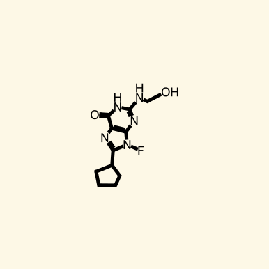 O=c1[nH]c(NCO)nc2c1nc(C1CCCC1)n2F